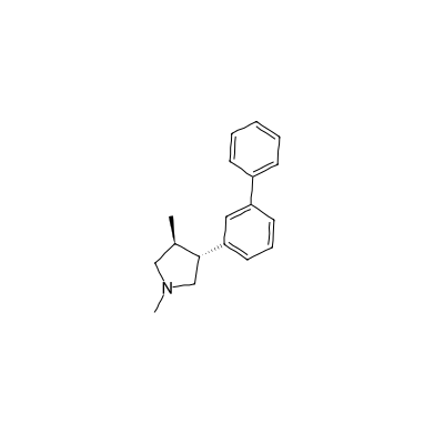 C[C@@H]1CN(C)C[C@H]1c1cccc(-c2ccccc2)c1